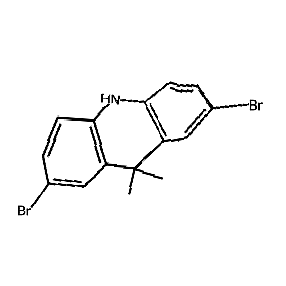 CC1(C)c2cc(Br)ccc2Nc2ccc(Br)cc21